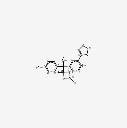 CC(C)c1ccc([C@](O)(c2ccnc(C3=CCCC3)c2)C2(C)CN(C)C2)cc1